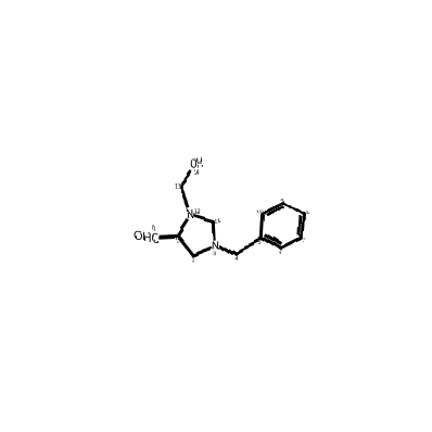 O=CC1CN(Cc2ccccc2)CN1CO